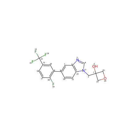 OC1(Cn2cnc3cc(-c4cc(C(F)(F)F)ccc4F)ccc32)COC1